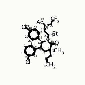 C=CC[C@@]1(C)CC(c2cccc(Cl)c2)[C@@H](c2ccc(Cl)cc2)N([C@@H](CC)CN(CC(F)(F)F)C(C)=O)C1=O